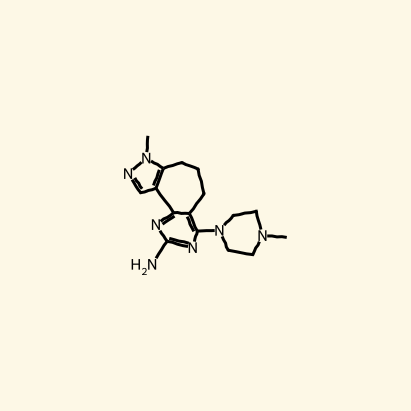 CN1CCN(c2nc(N)nc3c2CCCc2c-3cnn2C)CC1